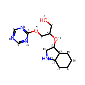 OCC(COc1ncncn1)OC1CNC2CCCCC21